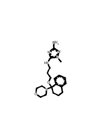 Cn1nc(N)nc1NCCCOC1(N2CCOCC2)CCCc2ccccc21